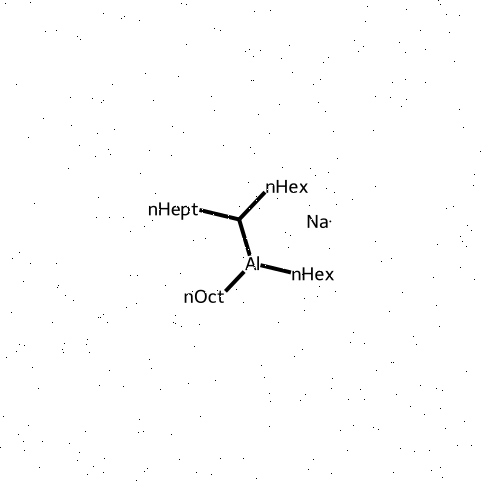 CCCCCCC[CH2][Al]([CH2]CCCCC)[CH](CCCCCC)CCCCCCC.[Na]